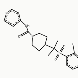 Cc1ccccc1S(=O)(=O)C(C)(C)C1CCN(C(=O)Nc2ccncc2)CC1